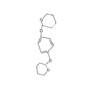 c1cc(OC2CCCCO2)ccc1OC1CCCCO1